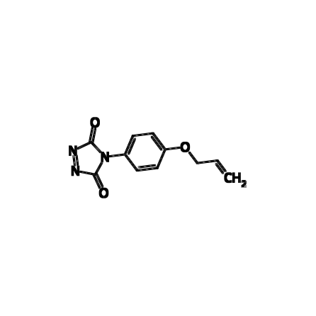 C=CCOc1ccc(N2C(=O)N=NC2=O)cc1